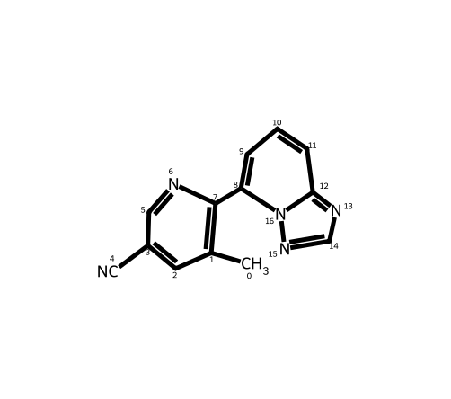 Cc1cc(C#N)cnc1-c1cccc2ncnn12